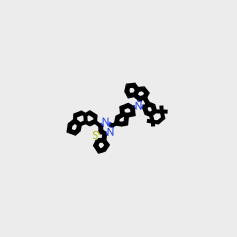 CC1(C)CCC(C)(C)c2cc3c(cc21)c1ccc2ccccc2c1n3-c1ccc2cc(-c3nc(C4=CC5c6ccccc6C=CC5C=C4)c4sc5ccccc5c4n3)ccc2c1